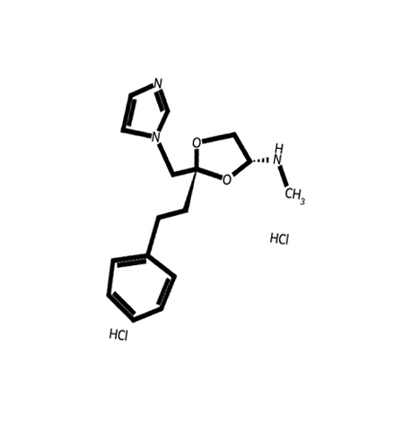 CN[C@H]1CO[C@@](CCc2ccccc2)(Cn2ccnc2)O1.Cl.Cl